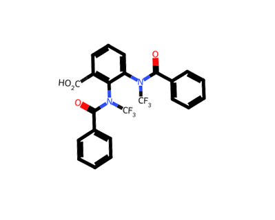 O=C(O)c1cccc(N(C(=O)c2ccccc2)C(F)(F)F)c1N(C(=O)c1ccccc1)C(F)(F)F